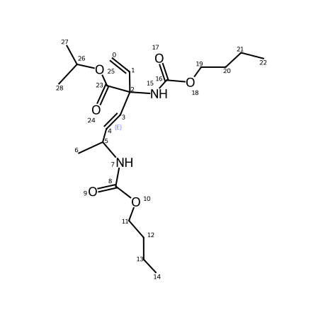 C=CC(/C=C/C(C)NC(=O)OCCCC)(NC(=O)OCCCC)C(=O)OC(C)C